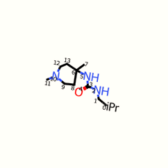 CC(C)CNC(=O)NC1(C)CCN(C)CC1